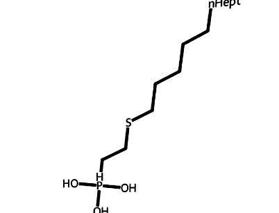 CCCCCCCCCCCCSCC[PH](O)(O)O